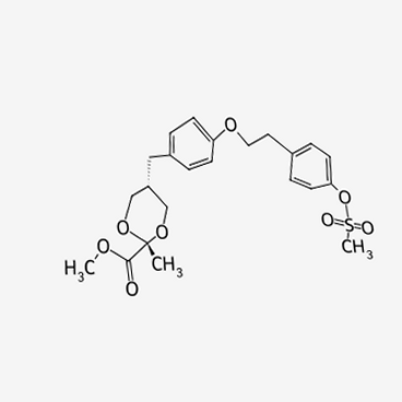 COC(=O)[C@]1(C)OC[C@H](Cc2ccc(OCCc3ccc(OS(C)(=O)=O)cc3)cc2)CO1